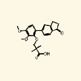 COc1ccc(-c2ccc3c(c2)CCC3=O)c(OCC(C)(C)C(=O)O)c1OC